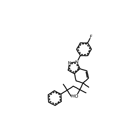 CC(C)(CC(C)(O)C1(C)C=Cc2c(cnn2-c2ccc(F)cc2)C1)c1ccccc1